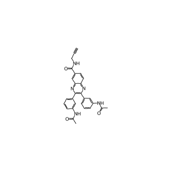 C#CCNC(=O)c1ccc2nc(-c3cccc(NC(C)=O)c3)c(-c3cccc(NC(C)=O)c3)nc2c1